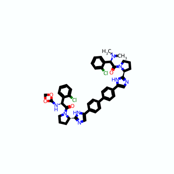 CN(C)[C@@H](C(=O)N1CCC[C@H]1c1ncc(-c2ccc(-c3ccc(-c4cnc([C@@H]5CCCN5C(=O)[C@H](NC5OCO5)c5ccccc5Cl)[nH]4)cc3)cc2)[nH]1)c1ccccc1Cl